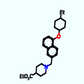 CCOC(=O)C1CCN(Cc2ccc3c(OC4CCC(CC)CC4)cccc3c2)CC1